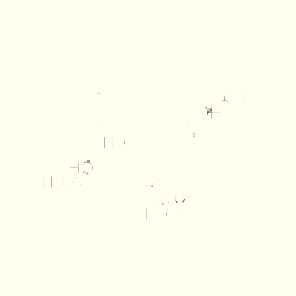 COc1c2cccc1Cc1cc(C)cc(c1O)Cc1cccc(c1OC)Cc1cc(C)cc(c1O)C2